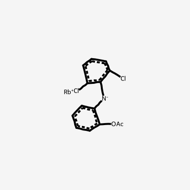 CC(=O)Oc1ccccc1[N-]c1c(Cl)cccc1Cl.[Rb+]